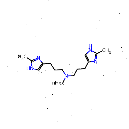 CCCCCCN(CCCc1c[nH]c(C)n1)CCCc1c[nH]c(C)n1